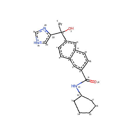 CC(C)C(O)(c1ccc2cc(C(=O)NC3CCCCC3)ccc2c1)c1c[nH]cn1